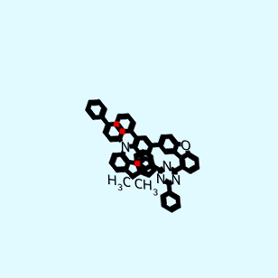 CC1(C)c2ccccc2-c2c(N(c3ccc(-c4ccccc4)cc3)c3ccc(-c4ccc5oc6cccc(-c7nc(-c8ccccc8)nc(-c8ccccc8)n7)c6c5c4)cc3-c3ccccc3)cccc21